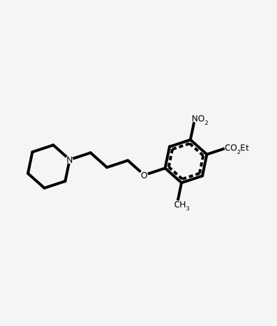 CCOC(=O)c1cc(C)c(OCCCN2CCCCC2)cc1[N+](=O)[O-]